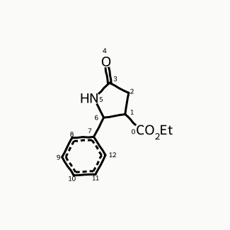 CCOC(=O)C1CC(=O)NC1c1ccccc1